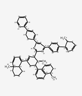 CC1CC=CN=C1c1ccc(-c2cc(C3=CC=C(c4ccccn4)CC3)nc(C3C=C(C4=CC=CC5(C)CCCCC45)CC(c4cccc5c4C=CCC5C)[C@@H]3C)n2)cc1